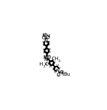 Cc1cc(C2=CCN(C(=O)OC(C)(C)C)CC2)cc(C)c1-c1nnc(-c2ccc(C3=CCN(C(=O)OC(C)(C)C)CC3)cc2)o1